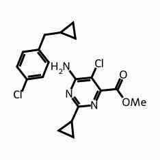 COC(=O)c1nc(C2CC2)nc(N)c1Cl.Clc1ccc(CC2CC2)cc1